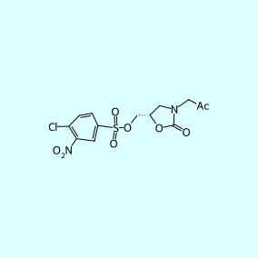 CC(=O)CN1C[C@@H](COS(=O)(=O)c2ccc(Cl)c([N+](=O)[O-])c2)OC1=O